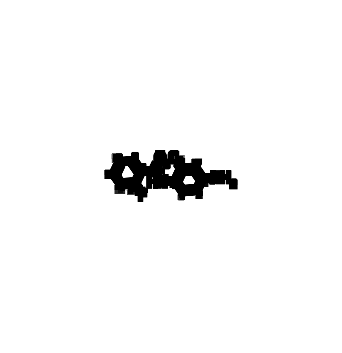 Nc1ccc(NC(=O)c2ccccc2F)c(C(F)(F)F)c1